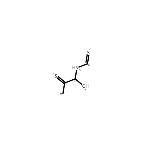 CC(=S)C(O)NC=S